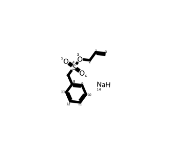 C=CCOS(=O)(=O)Cc1ccccc1.[NaH]